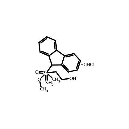 C[O][Zr]([CH3])(=[O])(=[SiH2])([CH2]CO)[CH]1c2ccccc2-c2ccccc21.Cl.Cl